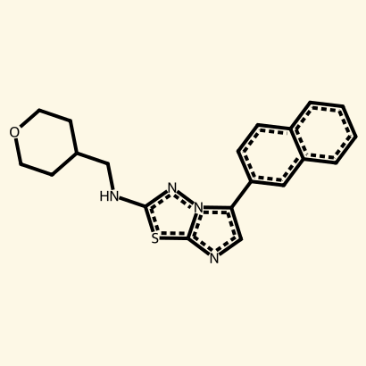 c1ccc2cc(-c3cnc4sc(NCC5CCOCC5)nn34)ccc2c1